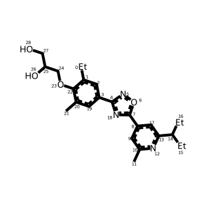 CCc1cc(-c2noc(-c3cc(C)nc(C(CC)CC)c3)n2)cc(C)c1OCC(O)CO